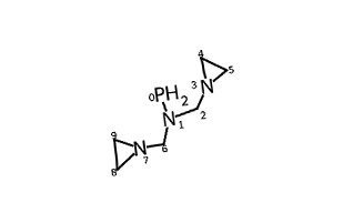 PN(CN1CC1)CN1CC1